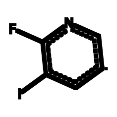 Fc1nc[c]cc1I